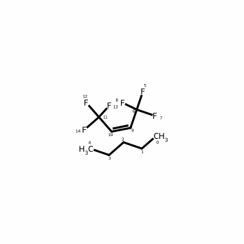 CCCCC.FC(F)(F)/C=C\C(F)(F)F